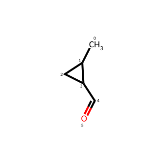 CC1CC1[C]=O